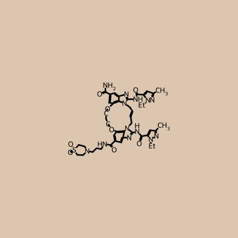 CCn1nc(C)cc1C(=O)Nc1nc2cc(C(N)=O)cc3c2n1C/C=C/Cn1c(NC(=O)c2cc(C)nn2CC)nc2cc(C(=O)NCCCN4CCS(=O)(=O)CC4)cc(c21)OCCCO3